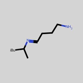 CCC(C)C(C)/N=C/CCCN